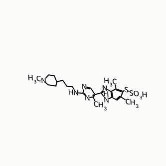 Cc1cc2[nH]c(-c3cnc(NCCCC4CCN(C)CC4)nc3C)nc2c(C)c1SS(=O)(=O)O